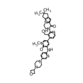 Cn1cc(-c2ccnc(N3CCn4c(cc5c4CC(C)(C)C5)C3=O)c2CO)cc(Nc2ccc(N3CCN(C4COC4)CC3)cn2)c1=O